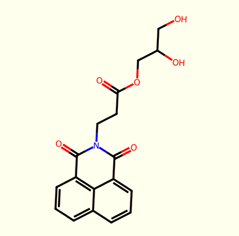 O=C(CCN1C(=O)c2cccc3cccc(c23)C1=O)OCC(O)CO